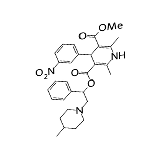 COC(=O)C1=C(C)NC(C)=C(C(=O)OC(CN2CCC(C)CC2)c2ccccc2)C1c1cccc([N+](=O)[O-])c1